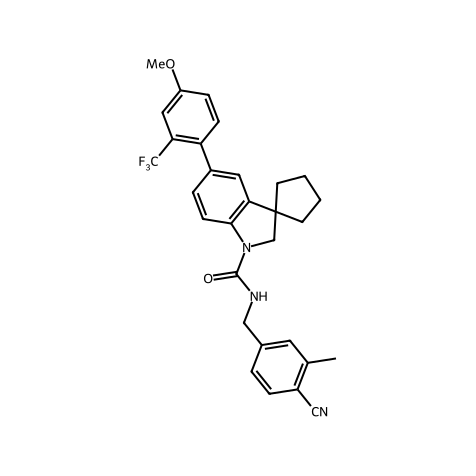 COc1ccc(-c2ccc3c(c2)C2(CCCC2)CN3C(=O)NCc2ccc(C#N)c(C)c2)c(C(F)(F)F)c1